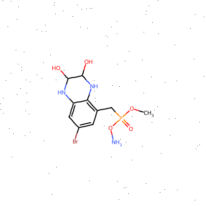 COP(=O)(Cc1cc(Br)cc2c1NC(O)C(O)N2)ON